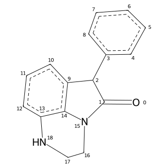 O=C1C(c2ccccc2)c2cccc3c2N1CCN3